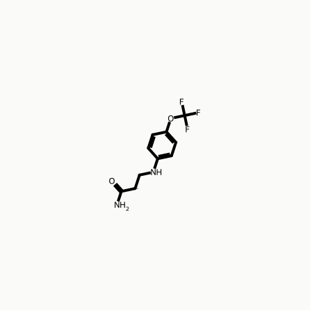 NC(=O)[CH]CNc1ccc(OC(F)(F)F)cc1